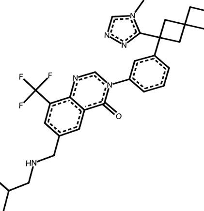 CC(C)CNCc1cc(C(F)(F)F)c2ncn(-c3cccc(C4(c5nncn5C)CC5(CCC5)C4)c3)c(=O)c2c1